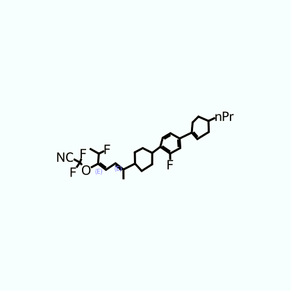 CCCC1CC=C(c2ccc(C3CCC(/C(C)=C/C=C(/OC(F)(F)C#N)C(C)F)CC3)c(F)c2)CC1